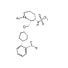 CC(=O)N1CCC[C@H](NS(C)(=O)=O)[C@@H]1CO[C@H]1CC[C@@H](c2ccccc2C(F)F)CC1